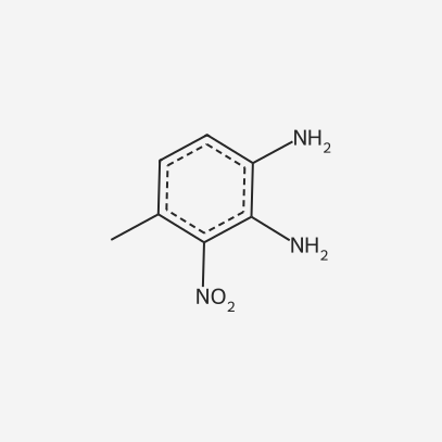 Cc1ccc(N)c(N)c1[N+](=O)[O-]